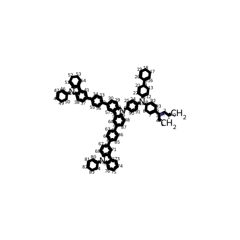 C=C/C=C(\C=C)C1=CCC(N(C2=CCC(C3=CCCC=C3)C=C2)c2ccc(-n3c4ccc(-c5ccc(-c6ccc7c(c6)c6c(n7C7=CC=CCC7)=CCCC=6)cc5)cc4c4cc(-c5ccc(-c6ccc7c(c6)c6ccccc6n7C6=CC=CCC6)cc5)ccc43)cc2)C=C1